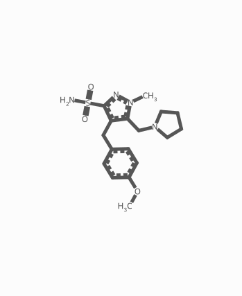 COc1ccc(Cc2c(S(N)(=O)=O)nn(C)c2CN2CCCC2)cc1